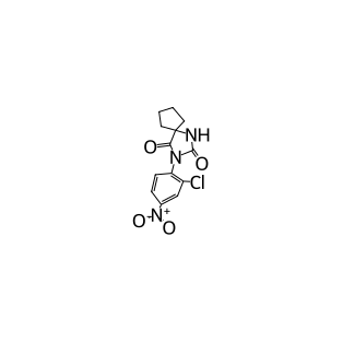 O=C1NC2(CCCC2)C(=O)N1c1ccc([N+](=O)[O-])cc1Cl